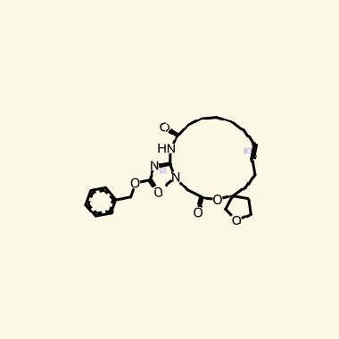 CN1CC(=O)OC2(CC/C=C/CCCCCC(=O)N/C1=N/C(=O)OCc1ccccc1)CCOC2